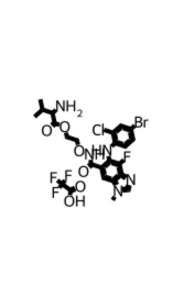 CC(C)C(N)C(=O)OCCONC(=O)c1cc2c(ncn2C)c(F)c1Nc1ccc(Br)cc1Cl.O=C(O)C(F)(F)F